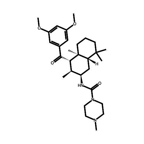 COc1cc(OC)cc(C(=O)[C@H]2[C@H](C)[C@H](NC(=O)N3CCN(C)CC3)C[C@H]3C(C)(C)CCC[C@]23C)c1